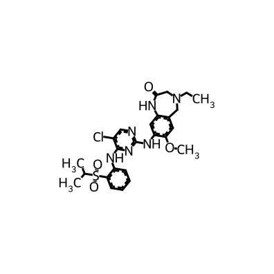 CCN1CC(=O)Nc2cc(Nc3ncc(Cl)c(Nc4ccccc4S(=O)(=O)C(C)C)n3)c(OC)cc2C1